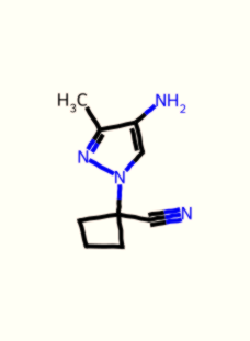 Cc1nn(C2(C#N)CCC2)cc1N